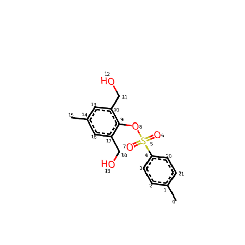 Cc1ccc(S(=O)(=O)Oc2c(CO)cc(C)cc2CO)cc1